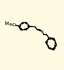 COc1ccc(CC=NCCc2ccccc2)cc1